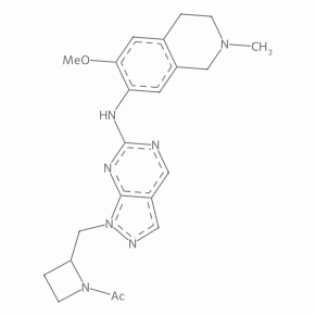 COc1cc2c(cc1Nc1ncc3cnn(CC4CCN4C(C)=O)c3n1)CN(C)CC2